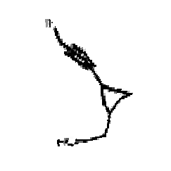 OCC1CC1C#CBr